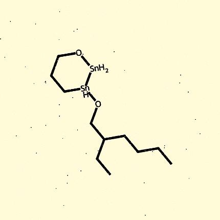 CCCCC(CC)C[O][SnH]1[CH2]CC[O][SnH2]1